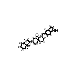 O=C1N(Cc2ccc3[nH]ccc3c2)CCCC12CCN(c1cnc3ccccc3n1)CC2